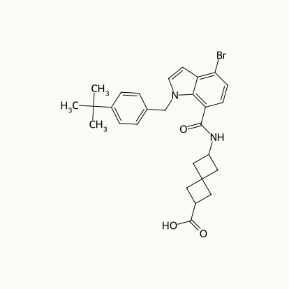 CC(C)(C)c1ccc(Cn2ccc3c(Br)ccc(C(=O)NC4CC5(C4)CC(C(=O)O)C5)c32)cc1